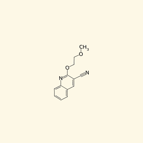 COCCOc1nc2ccccc2cc1C#N